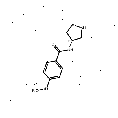 O=C(N[C@@H]1CCNC1)c1ccc(OC(F)(F)F)cc1